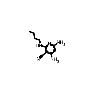 CCCCNc1nc(N)cc(N)c1C#N